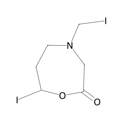 O=C1CN(CI)CCC(I)O1